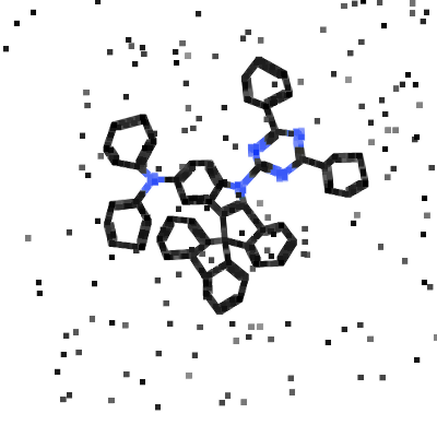 c1ccc(-c2nc(-c3ccccc3)nc(-n3c4c(c5cc(N(c6ccccc6)c6ccccc6)ccc53)C3(c5ccccc5-c5ccccc53)c3ccccc3-4)n2)cc1